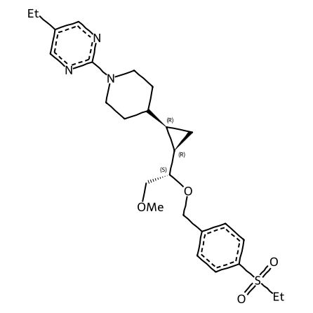 CCc1cnc(N2CCC([C@H]3C[C@H]3[C@@H](COC)OCc3ccc(S(=O)(=O)CC)cc3)CC2)nc1